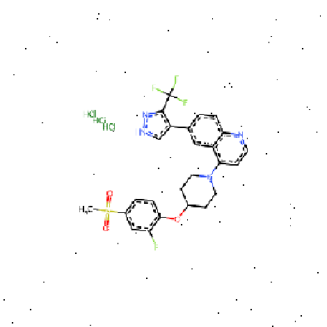 CS(=O)(=O)c1ccc(OC2CCN(c3ccnc4ccc(-c5c[nH]nc5C(F)(F)F)cc34)CC2)c(F)c1.Cl.Cl.Cl